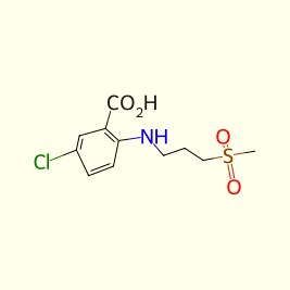 CS(=O)(=O)CCCNc1ccc(Cl)cc1C(=O)O